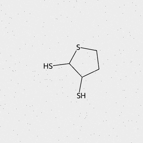 SC1CCSC1S